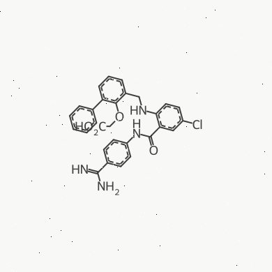 N=C(N)c1ccc(NC(=O)c2cc(Cl)ccc2NCc2cccc(-c3ccccc3)c2OCC(=O)O)cc1